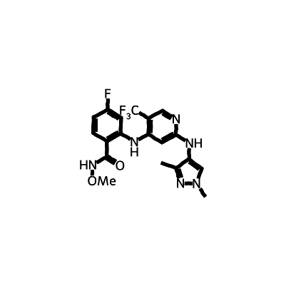 CONC(=O)c1ccc(F)cc1Nc1cc(Nc2cn(C)nc2C)ncc1C(F)(F)F